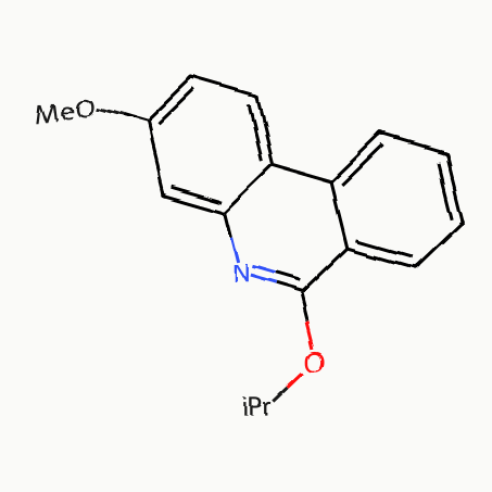 COc1ccc2c(c1)nc(OC(C)C)c1ccccc12